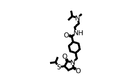 CC(C)SC1CC(=O)N(CC2CCC(C(=O)NCCN(C)C(C)C)CC2)C1=O